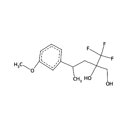 COc1cccc(C(C)CC(O)(CO)C(F)(F)F)c1